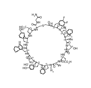 CCCC[C@H]1C(=O)N2C[C@H](O)C[C@@H]2C(=O)N[C@@H](CC(=O)O)C(=O)N[C@@H](C(C)C)C(=O)N(C)[C@@H](Cc2ccccc2)C(=O)N[C@@H](Cc2ccc(O)cc2)C(=O)N2C[C@H](O)C[C@H]2C(=O)N[C@@H](Cc2c[nH]c3ccccc23)C(=O)N[C@@H](Cc2ccc(O)cc2)C(=O)N[C@@H](CCC(=O)O)C(=O)N[C@H](C(=O)NCC(N)=O)CSCC(=O)N[C@@H](Cc2cc(F)c(F)c(F)c2)C(=O)N(C)[C@@H](Cc2ccccc2)C(=O)N1C